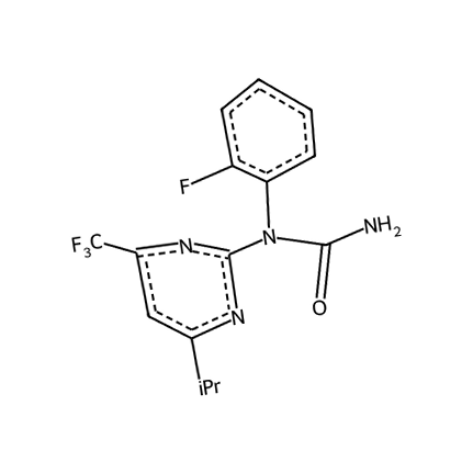 CC(C)c1cc(C(F)(F)F)nc(N(C(N)=O)c2ccccc2F)n1